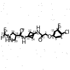 O=C(COc1ccc(Cl)c(F)c1)NC12CC(NC(=O)C3CNN(C(F)F)C3)(C1)C2